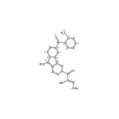 CCC/C(=N\OC(C)=O)C(=O)c1ccc2c(c1)c1cc(C(=O)c3ccccc3C)ccc1n2CC